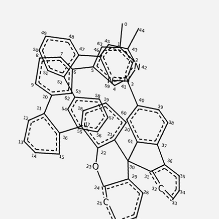 Cc1cncc(-c2cccc(-c3ccccc3-c3cccc4c3Oc3ccccc3C43c4ccccc4-c4ccc(-c5nc(C)cc(-c6ccccc6-c6ccccc6)n5)cc43)c2)c1